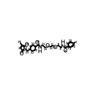 Cc1ccc(C(=O)NCCOCCOCCNC(=O)C2CCC(CN3C(=O)CC(C)C3=O)CC2)cc1